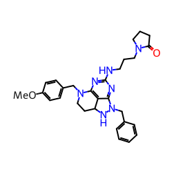 COc1ccc(CN2CCC3NN(Cc4ccccc4)c4nc(NCCCN5CCCC5=O)nc2c43)cc1